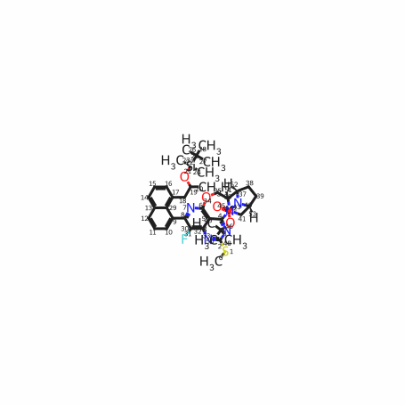 CSc1nc2c3c(nc(-c4cccc5cccc(CC(C)O[Si](C)(C)C(C)(C)C)c45)c(F)c3n1)OC[C@@H]1[C@@H]3CC[C@H](CN21)N3C(=O)OC(C)(C)C